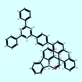 c1ccc(-c2nc(-c3ccccc3)nc(-c3ccc(-c4ccc5c(c4)C4(c6ccccc6S5)c5ccccc5-n5c6ccccc6c6cccc4c65)cc3)n2)cc1